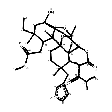 CCC1(C)CC2(O)C3OC4(C)OC56C(C(C(=O)C(C)C)C(=O)OC25)C(C)(Cc2ccoc2)CCC6(O4)C3(C)C1CC(=O)OC